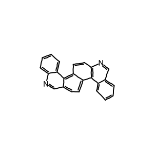 c1ccc2c(c1)cnc1ccc3c(ccc4cnc5ccccc5c43)c12